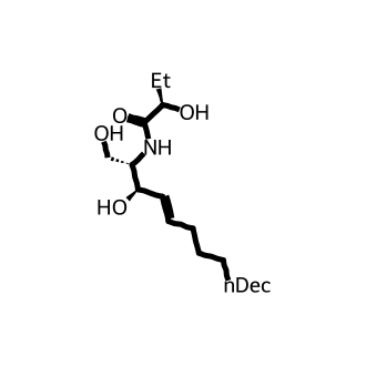 CCCCCCCCCCCCC/C=C/[C@@H](O)[C@H](CO)NC(=O)[C@H](O)CC